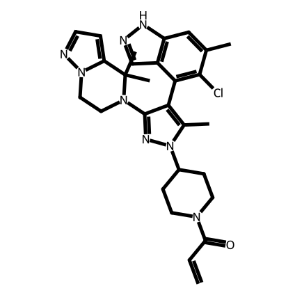 C=CC(=O)N1CCC(n2nc(N3CCn4nccc4C3(C)C)c(-c3c(Cl)c(C)cc4[nH]ncc34)c2C)CC1